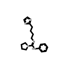 c1ccc(NC(=NCCCCc2nccs2)N2CCCC2)cc1